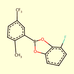 Cc1ccc(C(F)(F)F)cc1B1Oc2cccc(F)c2O1